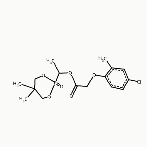 Cc1cc(Cl)ccc1OCC(=O)OC(C)P1(=O)OCC(C)(C)CO1